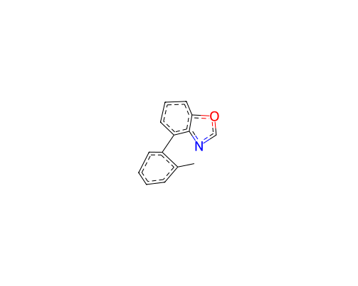 Cc1ccccc1-c1cccc2ocnc12